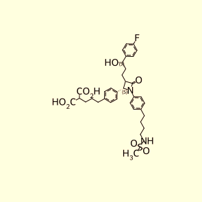 CS(=O)(=O)NCCCCc1ccc(N2C(=O)C(CC[C@H](O)c3ccc(F)cc3)[C@H]2c2ccc(CCCC(C(=O)O)C(=O)O)cc2)cc1